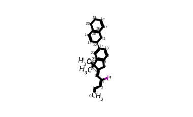 C=C/C=C(I)\C=C1/Cc2ccc([C@H]3C=CC4=C(C=CCC4)C3)cc2C1(C)C